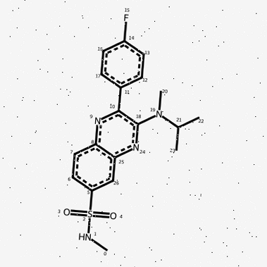 CNS(=O)(=O)c1ccc2nc(-c3ccc(F)cc3)c(N(C)C(C)C)nc2c1